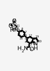 NC(=O)c1cc(-c2ccc(NC[SH](=O)=O)cc2)cc2cc[nH]c12